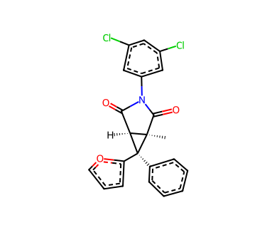 C[C@@]12C(=O)N(c3cc(Cl)cc(Cl)c3)C(=O)[C@@H]1[C@]2(c1ccccc1)c1ccco1